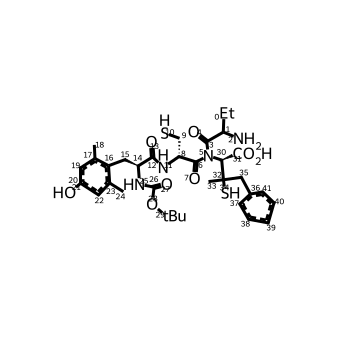 CCC(N)C(=O)N(C(=O)[C@@H](CS)NC(=O)[C@H](Cc1c(C)cc(O)cc1C)NC(=O)OC(C)(C)C)[C@@H](C(=O)O)C(C)(S)Cc1ccccc1